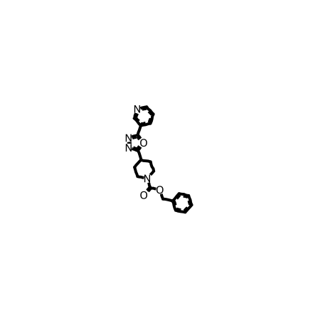 O=C(OCc1ccccc1)N1CCC(c2nnc(-c3cccnc3)o2)CC1